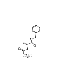 CCOC(=O)C(=O)CC(=O)C(=O)OCc1ccccc1